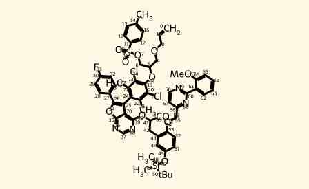 C=CCOCC(COS(=O)(=O)c1ccc(C)cc1)Oc1c(Cl)c(C)c(-c2c(-c3ccc(F)cc3)oc3ncnc(OC(Cc4cc(O[Si](C)(C)C(C)(C)C)ccc4OCc4ccnc(-c5ccccc5OC)n4)C(=O)O)c23)c(C)c1Cl